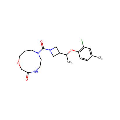 CC(Oc1ccc(C(F)(F)F)cc1F)C1CN(C(=O)N2CCCOCC(=O)NCC2)C1